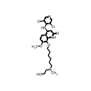 COc1ccc2c(Nc3c(Cl)cncc3Cl)cc(=O)[nH]c2c1OCCCCCCN(C)CCO